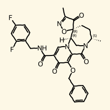 CC1=NO[C@@]2(CC[C@H](C)N3C[C@H]2n2cc(C(=O)NCc4ccc(F)cc4F)c(=O)c(OCc4ccccc4)c2C3=O)C1=O